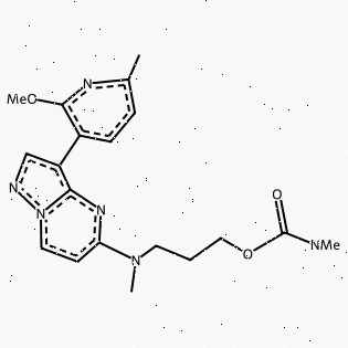 CNC(=O)OCCCN(C)c1ccn2ncc(-c3ccc(C)nc3OC)c2n1